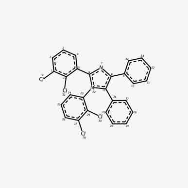 Clc1cccc(-c2nc(-c3ccccc3)c(-c3ccccc3)n2-c2cccc(Cl)c2Cl)c1Cl